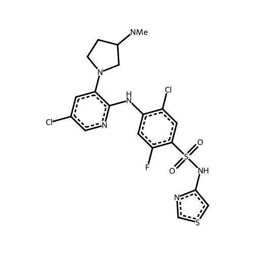 CNC1CCN(c2cc(Cl)cnc2Nc2cc(F)c(S(=O)(=O)Nc3cscn3)cc2Cl)C1